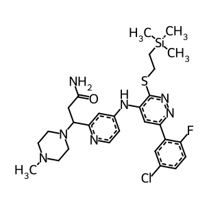 CN1CCN(C(CC(N)=O)c2cc(Nc3cc(-c4cc(Cl)ccc4F)nnc3SCC[Si](C)(C)C)ccn2)CC1